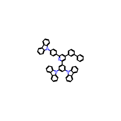 c1ccc(-c2cccc(-c3cc(-c4ccc(-n5c6ccccc6c6ccccc65)cc4)nc(-c4cc(-n5c6ccccc6c6ccccc65)cc(-n5c6ccccc6c6ccccc65)c4)c3)c2)cc1